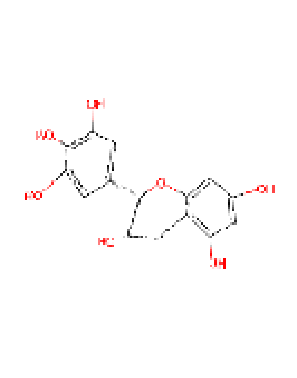 Oc1cc(O)c2c(c1)O[C@@H](c1cc(O)c(O)c(O)c1)[C@@H](O)C2